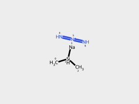 C[SiH](C)[Na].N=[N+]=N